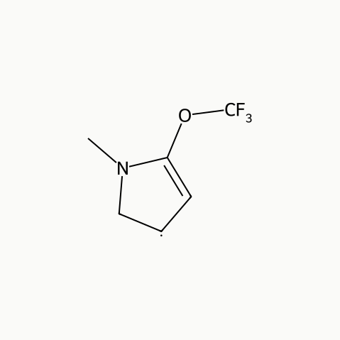 CN1C[CH]C=C1OC(F)(F)F